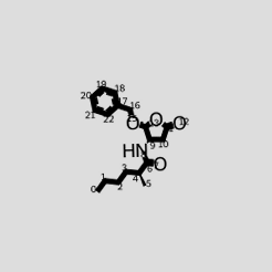 CCCC[C@H](C)C(=O)N[C@H]1CC(=O)OC1OCc1ccccc1